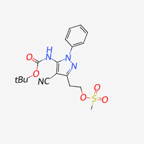 CC(C)(C)OC(=O)Nc1c(C#N)c(CCOS(C)(=O)=O)nn1-c1ccccc1